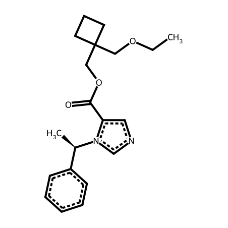 CCOCC1(COC(=O)c2cncn2[C@H](C)c2ccccc2)CCC1